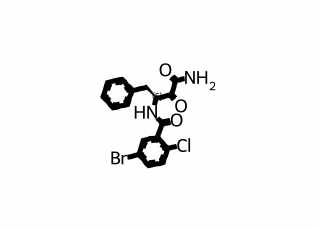 NC(=O)C(=O)[C@H](Cc1ccccc1)NC(=O)c1cc(Br)ccc1Cl